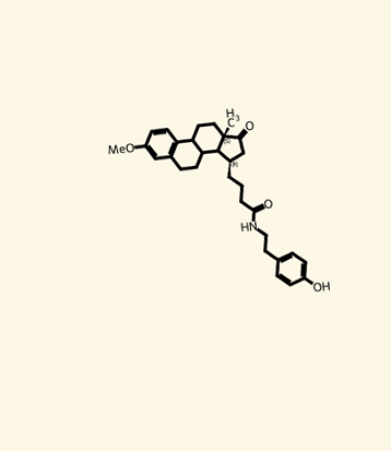 COc1ccc2c(c1)CCC1C2CC[C@]2(C)C(=O)C[C@@H](CCCC(=O)NCCc3ccc(O)cc3)C12